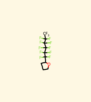 FC(F)(F)C(F)(F)C(F)(F)C(F)(F)C(F)(F)C(F)(F)C1CCCO1